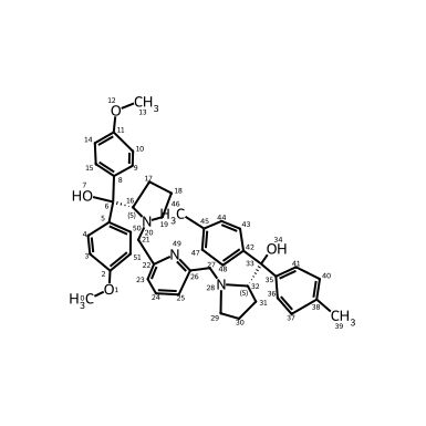 COc1ccc(C(O)(c2ccc(OC)cc2)[C@@H]2CCCN2Cc2cccc(CN3CCC[C@H]3C(O)(c3ccc(C)cc3)c3ccc(C)cc3)n2)cc1